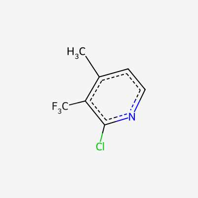 Cc1ccnc(Cl)c1C(F)(F)F